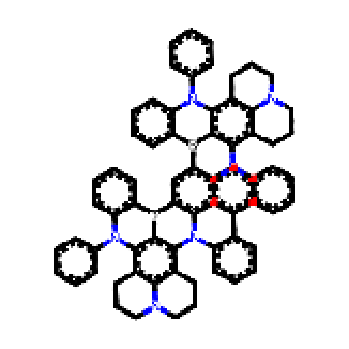 c1ccc(-c2ccccc2N2c3cc4c(cc3B3c5ccccc5N(c5ccccc5)c5c6c7c(c2c53)CCCN7CCC6)B2c3ccccc3N(c3ccccc3)c3c5c6c(c(c32)N4c2ccccc2)CCCN6CCC5)cc1